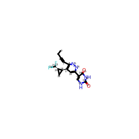 CCC#Cc1nnc(-c2c[nH]c(=O)[nH]c2=O)cc1[C@H]1C[C@@H]1C(F)F